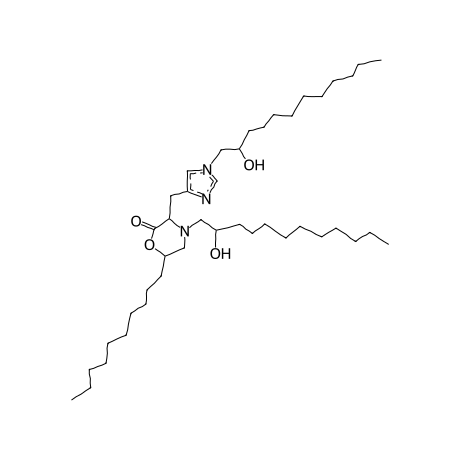 CCCCCCCCCCC(O)CN1CC(CCCCCCCCCC)OC(=O)C1Cc1cn(CC(O)CCCCCCCCCC)cn1